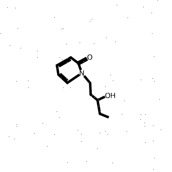 CCC(O)CCn1ccccc1=O